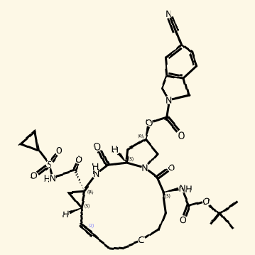 CC(C)(C)OC(=O)N[C@H]1CCCCC/C=C\[C@@H]2C[C@@]2(C(=O)NS(=O)(=O)C2CC2)NC(=O)[C@@H]2C[C@@H](OC(=O)N3Cc4ccc(C#N)cc4C3)CN2C1=O